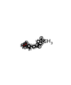 CCN1C(=O)c2cccc3c(S(=O)(=O)Cc4ccc(-c5ccc(C(O)(C(F)(F)F)C(F)(F)F)cc5F)cc4)ccc1c23